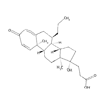 CCC[C@@H]1CC2=CC(=O)C=C[C@]2(C)[C@H]2CC[C@@]3(C)[C@@H](CC[C@@]3(O)CCC(=O)O)[C@H]12